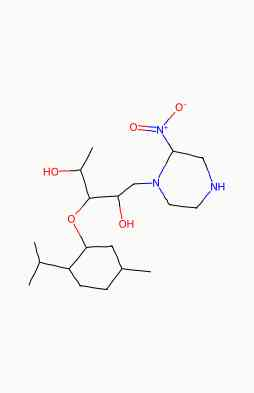 CC1CCC(C(C)C)C(OC(C(C)O)C(O)CN2CCNCC2[N+](=O)[O-])C1